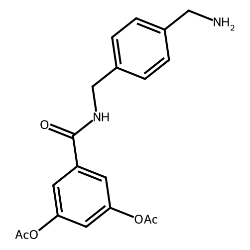 CC(=O)Oc1cc(OC(C)=O)cc(C(=O)NCc2ccc(CN)cc2)c1